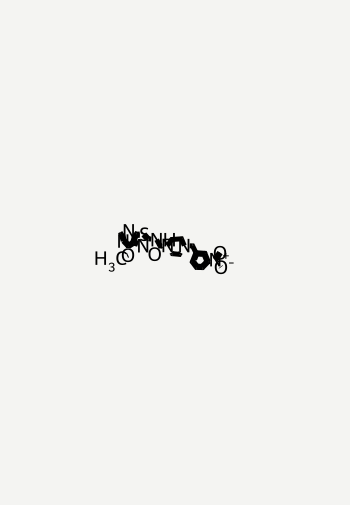 COc1ncnc2sc(NC(=O)N3CCN(Cc4cccc([N+](=O)[O-])c4)CC3)nc12